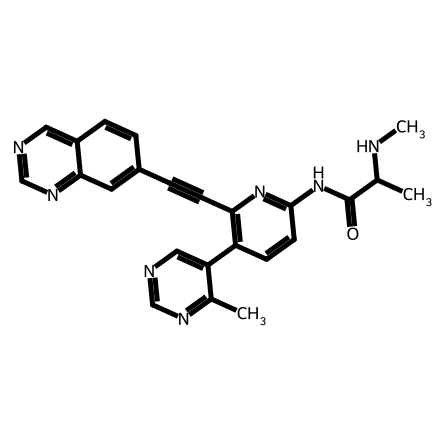 CNC(C)C(=O)Nc1ccc(-c2cncnc2C)c(C#Cc2ccc3cncnc3c2)n1